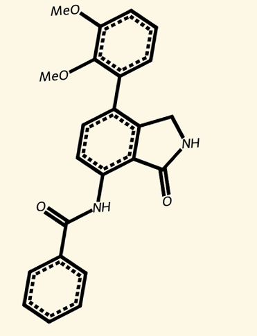 COc1cccc(-c2ccc(NC(=O)c3ccccc3)c3c2CNC3=O)c1OC